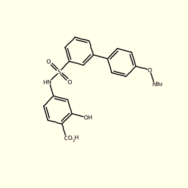 CCCCOc1ccc(-c2cccc(S(=O)(=O)Nc3ccc(C(=O)O)c(O)c3)c2)cc1